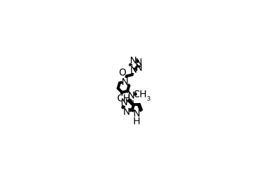 CC1CCN(C(=O)Cn2cnnn2)CC1N(C)c1ncnc2[nH]ccc12